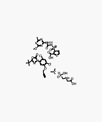 C#CCOc1cc(-n2nc(C(C)(C)C)oc2=O)c(Cl)cc1Cl.COc1nc(C)nc(NC(=O)NS(=O)(=O)c2ccsc2C(=O)O)n1.C[S+](C)C.O=C(O)CNCP(=O)([O-])O